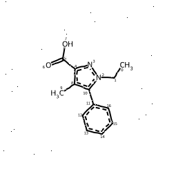 CCn1nc(C(=O)O)c(C)c1-c1ccccc1